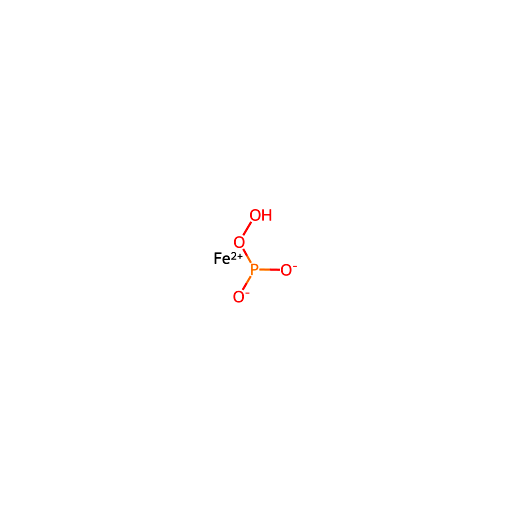 [Fe+2].[O-]P([O-])OO